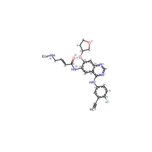 C#Cc1cc(Nc2ncnc3cc(OC4CCOC4)c(NC(=O)/C=C/CNCC)cc23)ccc1F